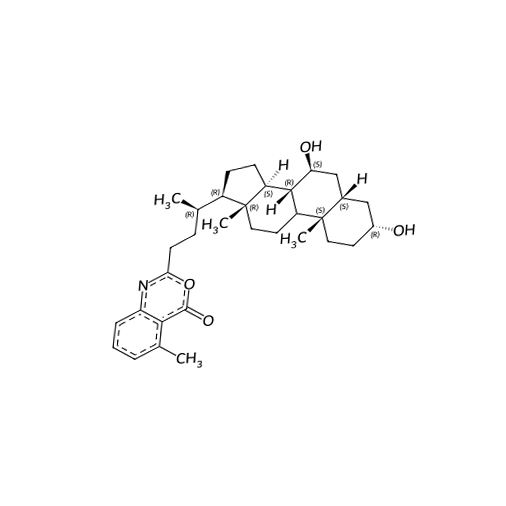 Cc1cccc2nc(CC[C@@H](C)[C@H]3CC[C@H]4[C@H]5C(CC[C@]34C)[C@@]3(C)CC[C@@H](O)C[C@H]3C[C@@H]5O)oc(=O)c12